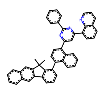 CC1(C)c2cc3ccccc3cc2-c2cccc(-c3ccc(-c4cc(-c5cccc6cccnc56)nc(-c5ccccc5)n4)c4ccccc34)c21